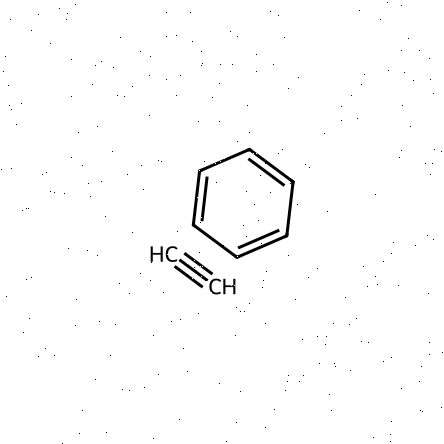 C#C.c1ccccc1